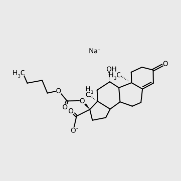 CCCCOC(=O)O[C@]1(C(=O)[O-])CCC2C3CCC4=CC(=O)CC[C@]4(C)C3[C@@H](O)C[C@@]21C.[Na+]